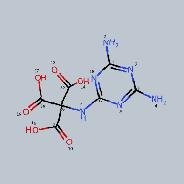 Nc1nc(N)nc(NC(C(=O)O)(C(=O)O)C(=O)O)n1